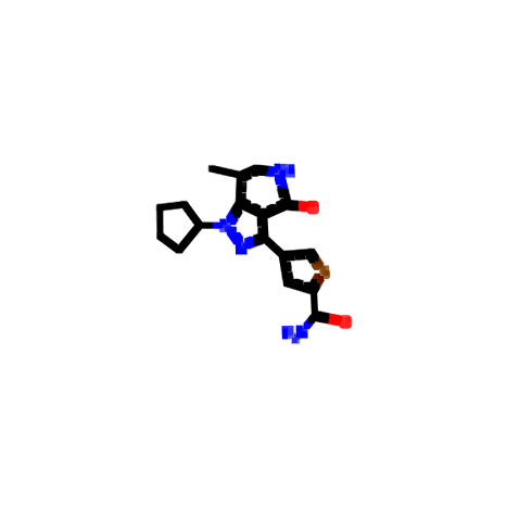 Cc1c[nH]c(=O)c2c(-c3csc(C(N)=O)c3)nn(C3CCCC3)c12